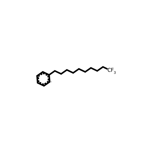 FC(F)(F)CCCCCCCCCc1[c]cccc1